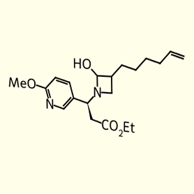 C=CCCCCC1CN([C@@H](CC(=O)OCC)c2ccc(OC)nc2)C1O